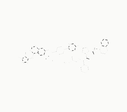 CN[C@@H](C)CN[C@H](C(=O)N1C[C@@H](Oc2cnc(N3CCC(COc4cc5ncnc(Nc6n[nH]c(C)c6C)c5cc4S(=O)(=O)C(C)(C)C)CC3)nc2)C[C@H]1C(=O)N[C@@H]1CCCc2ccccc21)C1CCCCC1